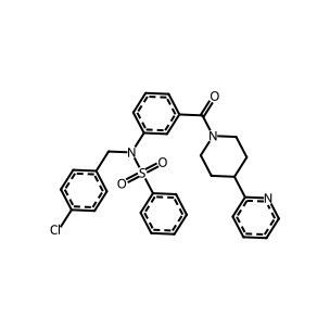 O=C(c1cccc(N(Cc2ccc(Cl)cc2)S(=O)(=O)c2ccccc2)c1)N1CCC(c2ccccn2)CC1